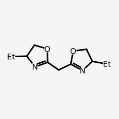 CCC1COC(CC2=NC(CC)CO2)=N1